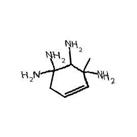 CC1(N)C=CCC(N)(N)C1N